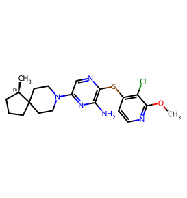 COc1nccc(Sc2ncc(N3CCC4(CCC[C@H]4C)CC3)nc2N)c1Cl